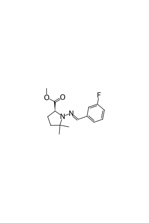 COC(=O)[C@@H]1CCC(C)(C)N1/N=C/c1cccc(F)c1